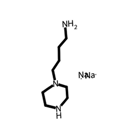 NCCCCN1CCNCC1.[Na].[Na]